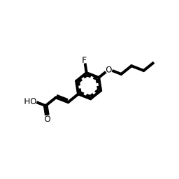 CCCCOc1ccc(C=CC(=O)O)cc1F